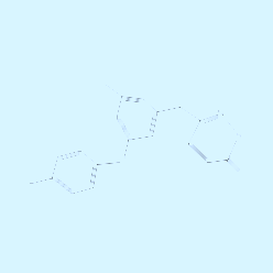 CCc1cc(Cc2ccc(=O)[nH]n2)cc(Oc2ccc(Cl)cc2)c1